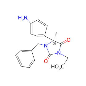 C[C@]1(c2ccc(N)cc2)C(=O)N(CC(=O)O)C(=O)N1Cc1ccccc1